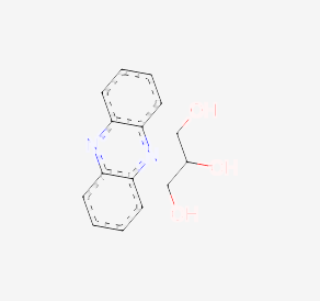 OCC(O)CO.c1ccc2nc3ccccc3nc2c1